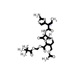 C/C=C(/C(=O)N[C@@H]1C(=O)N2C(C(=O)OCOC(=O)C(C)(C)C)=C(COC(N)=O)CS[C@H]12)c1csc(N)n1